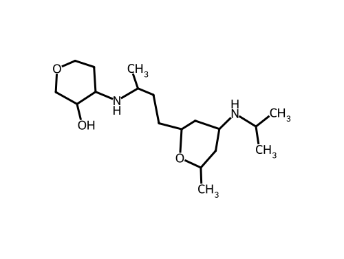 CC(C)NC1CC(C)OC(CCC(C)NC2CCOCC2O)C1